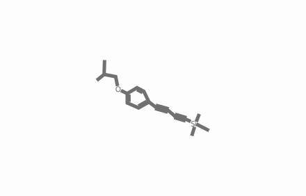 CC(C)COc1ccc(C#CC#C[Si](C)(C)C)cc1